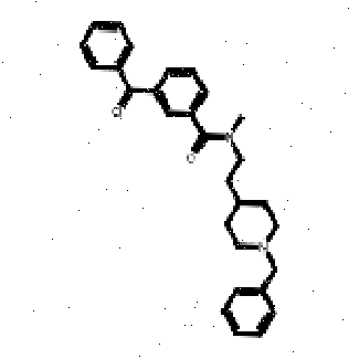 CN(CCC1CCN(Cc2ccccc2)CC1)C(=O)c1cccc(C(=O)c2ccccc2)c1